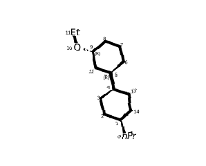 CCC[C@H]1CC[C@@H]([C@@H]2CCC[C@@H](OCC)C2)CC1